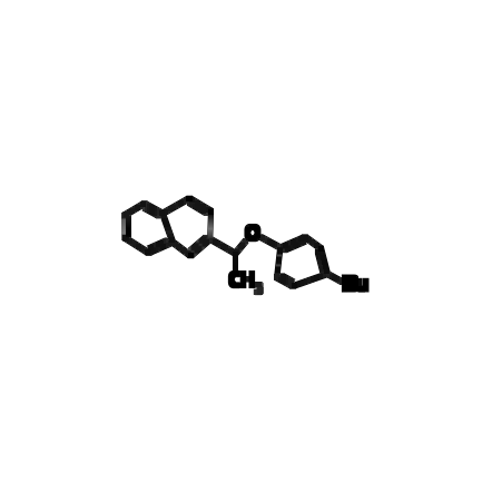 CCC(C)c1ccc(OC(C)c2ccc3ccccc3c2)cc1